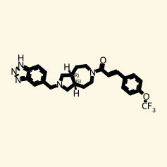 O=C(C=Cc1ccc(OC(F)(F)F)cc1)N1CC[C@@H]2CN(Cc3ccc4[nH]nnc4c3)C[C@@H]2CC1